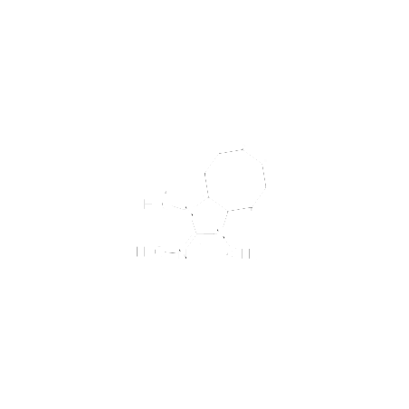 CN=C1N(C)C2CCCCCCC2N1C